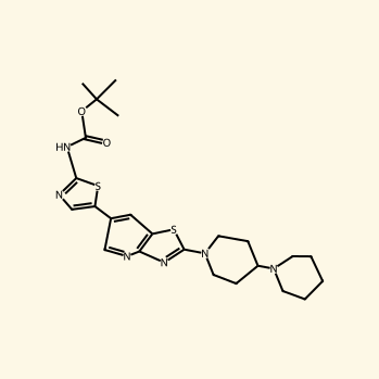 CC(C)(C)OC(=O)Nc1ncc(-c2cnc3nc(N4CCC(N5CCCCC5)CC4)sc3c2)s1